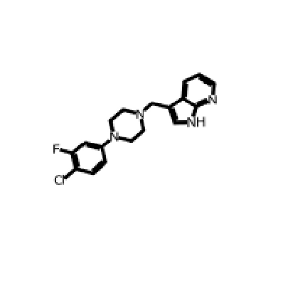 Fc1cc(N2CCN(Cc3c[nH]c4ncccc34)CC2)ccc1Cl